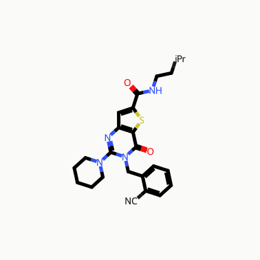 CC(C)CCNC(=O)c1cc2nc(N3CCCCC3)n(Cc3ccccc3C#N)c(=O)c2s1